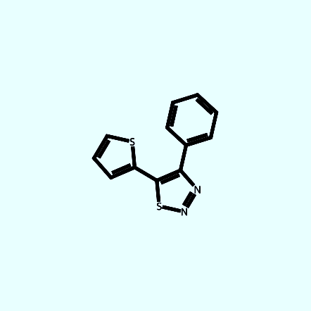 c1ccc(-c2nnsc2-c2cccs2)cc1